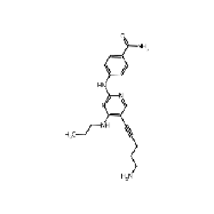 CCCNc1nc(Nc2ccc(C(N)=O)cc2)ncc1C#CCCCN